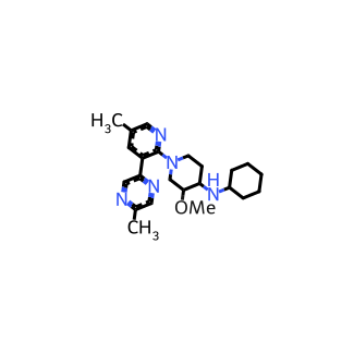 COC1CN(c2ncc(C)cc2-c2cnc(C)cn2)CCC1NC1CCCCC1